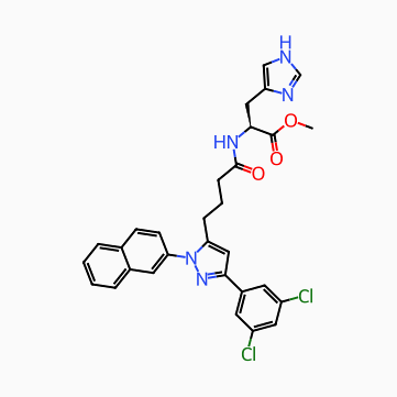 COC(=O)[C@H](Cc1c[nH]cn1)NC(=O)CCCc1cc(-c2cc(Cl)cc(Cl)c2)nn1-c1ccc2ccccc2c1